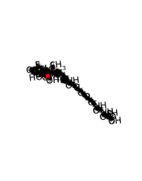 CCO[C@H](O[C@]1(C(=O)CO)CCC2[C@@H]3C[C@H](F)C4=CC(=O)C=C[C@]4(C)[C@@]3(F)[C@@H](O)C[C@@]21C)c1ccc(Cc2cccc(NC(=O)CCOCCOCCOCCOCCNC(=O)CCNC(=O)C(S)CC(=O)O)c2)cc1